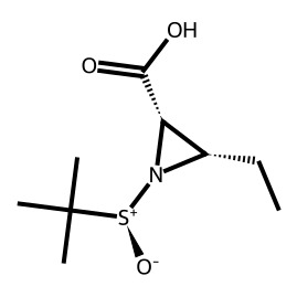 CC[C@H]1[C@@H](C(=O)O)N1[S@@+]([O-])C(C)(C)C